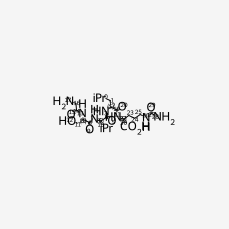 CC(C)C[C@H](NC(=O)[C@@H](NC(=O)[C@H](CO)NC(=O)CN)C(C)C)C(=O)N[C@@H](CCCNC(N)=O)C(=O)O